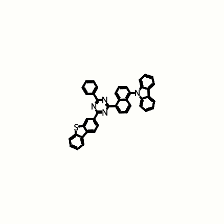 c1ccc(-c2nc(-c3ccc4c(c3)sc3ccccc34)nc(-c3cccc4c(-n5c6ccccc6c6ccccc65)cccc34)n2)cc1